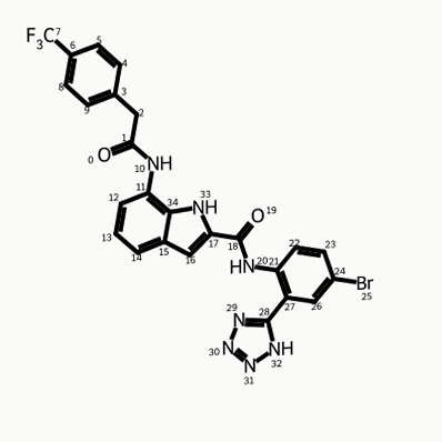 O=C(Cc1ccc(C(F)(F)F)cc1)Nc1cccc2cc(C(=O)Nc3ccc(Br)cc3-c3nnn[nH]3)[nH]c12